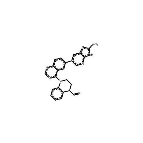 Cc1nc2cc(-c3ccc4ncnc(N5CCC(C=O)c6ccccc65)c4c3)cnc2[nH]1